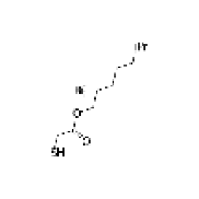 CC(C)CCCCCOC(=O)CS.[Bi]